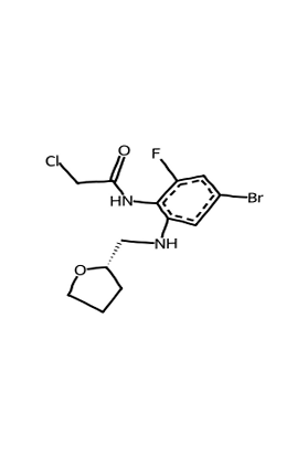 O=C(CCl)Nc1c(F)cc(Br)cc1NC[C@@H]1CCCO1